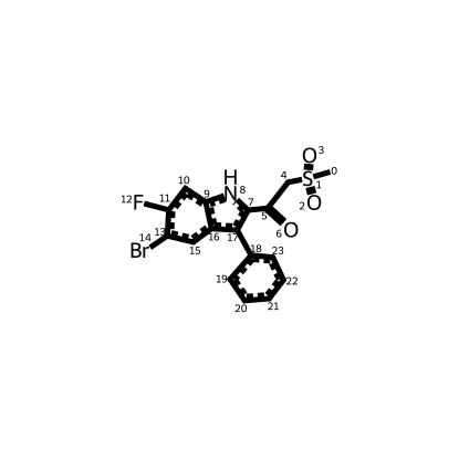 CS(=O)(=O)CC(=O)c1[nH]c2cc(F)c(Br)cc2c1-c1ccccc1